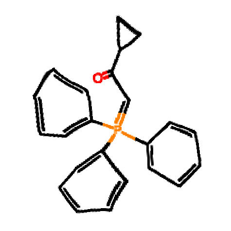 O=C(C=P(c1ccccc1)(c1ccccc1)c1ccccc1)C1CC1